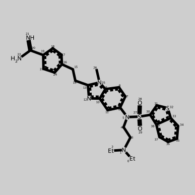 CCN(CC)CCN(c1ccc2c(c1)nc(CCc1ccc(C(=N)N)cc1)n2C)S(=O)(=O)c1csc2ccccc12